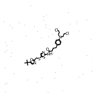 CC(C)(C)c1cnc(CSc2cnc(NC(=O)CCCc3ccc(N(CCCl)CCCl)cc3)s2)o1